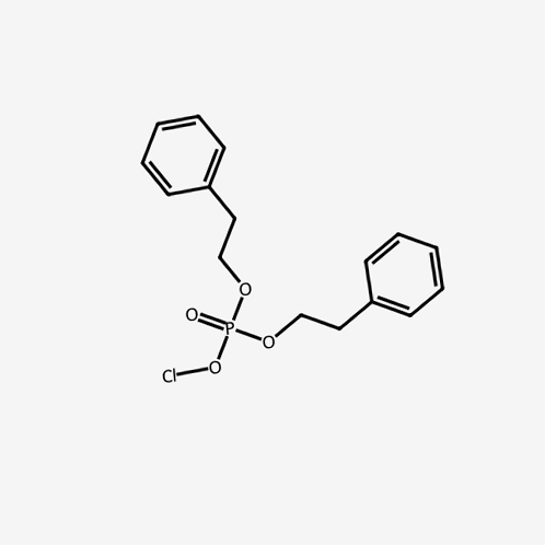 O=P(OCl)(OCCc1ccccc1)OCCc1ccccc1